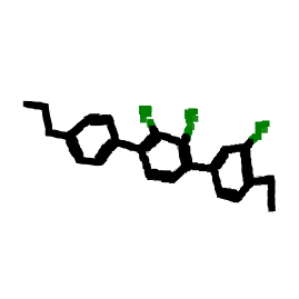 CCCc1ccc(-c2ccc(-c3ccc(CC)c(F)c3)c(F)c2F)cc1